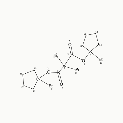 CCC1(OC(=O)C(C(=O)OC2(CC)CCCC2)(C(C)C)C(C)C)CCCC1